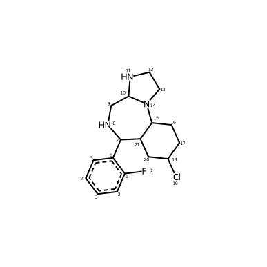 Fc1ccccc1C1NCC2NCCN2C2CCC(Cl)CC12